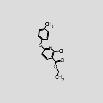 CCOC(=O)c1ccc(Sc2ccc(C)cc2)nc1Cl